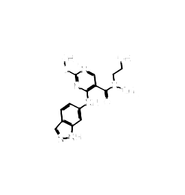 CSc1ncc(C(=O)N(C)CCO)c(Nc2ccc3cn[nH]c3c2)n1